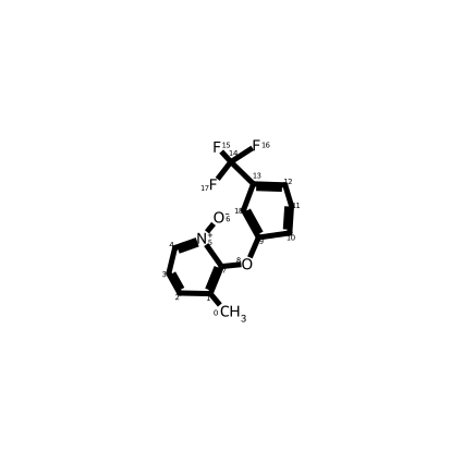 Cc1ccc[n+]([O-])c1Oc1cccc(C(F)(F)F)c1